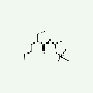 CCCCC(CC)C(=O)OC(C)C[N+](C)(C)C